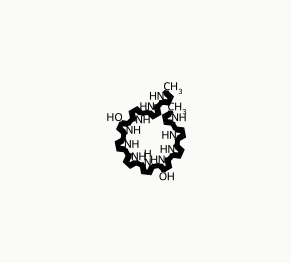 Cc1ccc(-c2ccc(-c3ccc(-c4cc(O)c(-c5ccc(-c6ccc(-c7ccc(-c8cc(O)c(-c9ccc(-c%10ccc(-c%11ccc(C)[nH]%11)[nH]%10)[nH]9)[nH]8)[nH]7)[nH]6)[nH]5)[nH]4)[nH]3)[nH]2)[nH]1